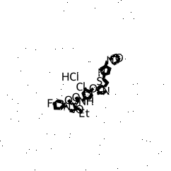 CCOc1ccn(-c2ccc(F)cc2)c(=O)c1C(=O)Nc1ccc(Oc2ccnc3cc(-c4ccc(CN5CCOCC5)cn4)sc23)c(Cl)c1.Cl